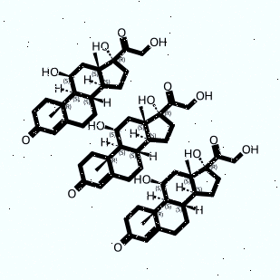 C[C@]12CCC(=O)C=C1CC[C@@H]1[C@@H]2[C@@H](O)C[C@@]2(C)[C@H]1CC[C@]2(O)C(=O)CO.C[C@]12CCC(=O)C=C1CC[C@@H]1[C@@H]2[C@@H](O)C[C@@]2(C)[C@H]1CC[C@]2(O)C(=O)CO.C[C@]12CCC(=O)C=C1CC[C@@H]1[C@@H]2[C@@H](O)C[C@@]2(C)[C@H]1CC[C@]2(O)C(=O)CO